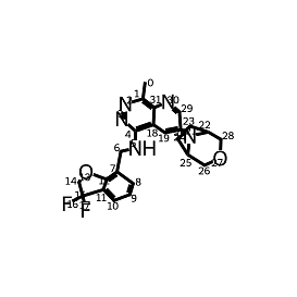 Cc1nnc(NCc2cccc3c2OCC3(F)F)c2cc(N3C4CCC3COC4)cnc12